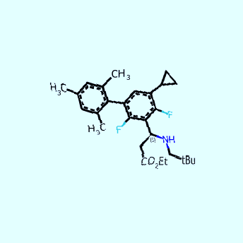 CCOC(=O)C[C@H](NCC(C)(C)C)c1c(F)c(-c2c(C)cc(C)cc2C)cc(C2CC2)c1F